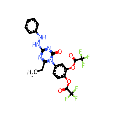 CCc1nc(NNc2ccccc2)nc(=O)n1-c1ccc(OC(=O)C(F)(F)F)c(OC(=O)C(F)(F)F)c1